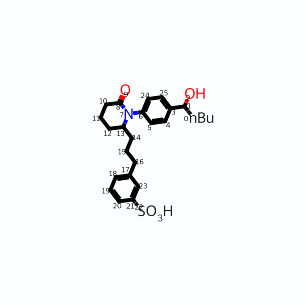 CCCCC(O)c1ccc(N2C(=O)CCCC2CCCc2cccc(S(=O)(=O)O)c2)cc1